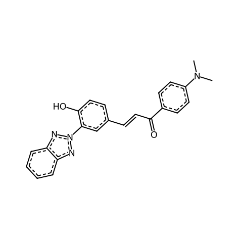 CN(C)c1ccc(C(=O)/C=C/c2ccc(O)c(-n3nc4ccccc4n3)c2)cc1